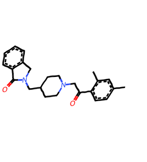 Cc1ccc(C(=O)CN2CCC(CN3Cc4ccccc4C3=O)CC2)c(C)c1